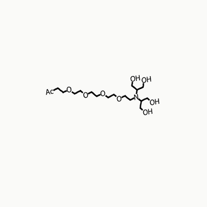 CC(=O)CCOCCOCCOCCOCCN(C(CO)CO)C(CO)CO